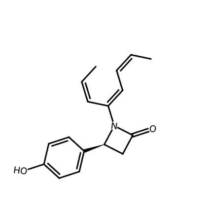 C\C=C/C=C(\C=C/C)N1C(=O)C[C@H]1c1ccc(O)cc1